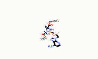 CCCCCOC(=O)C(C)(C)NP(=O)(CO[C@H](C)Cn1cnc2c(N)ccnc21)NC1(C(=O)OCCCCC)CC1